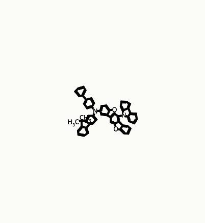 CC1(C)c2ccccc2-c2ccc(N(c3ccc(-c4ccccc4)cc3)c3ccc4oc5c(-n6c7ccccc7c7ccccc76)c6c(cc5c4c3)oc3ccccc36)cc21